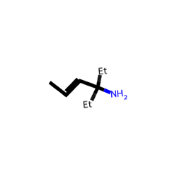 CC=CC(N)(CC)CC